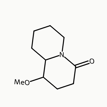 COC1CCC(=O)N2CCCCC12